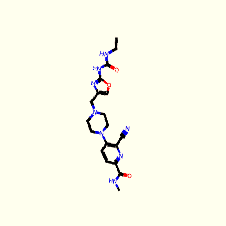 CCNC(=O)Nc1nc(CN2CCN(c3ccc(C(=O)NC)nc3C#N)CC2)co1